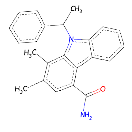 Cc1cc(C(N)=O)c2c3ccccc3n(C(C)c3ccccc3)c2c1C